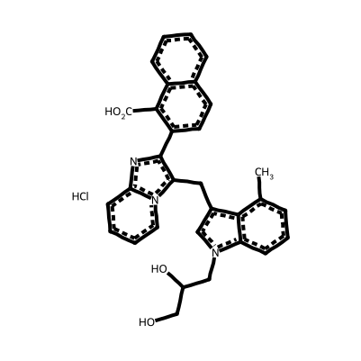 Cc1cccc2c1c(Cc1c(-c3ccc4ccccc4c3C(=O)O)nc3ccccn13)cn2CC(O)CO.Cl